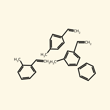 C=Cc1ccc(C)cc1.C=Cc1cccc(C)c1.C=Cc1ccccc1C.c1ccccc1